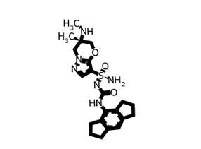 CN[C@]1(C)COc2c([S@@](N)(=O)=NC(=O)Nc3c4c(cc5c3CCC5)CCC4)cnn2C1